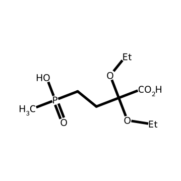 CCOC(CCP(C)(=O)O)(OCC)C(=O)O